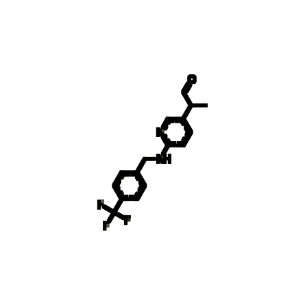 CC(C=O)c1ccc(NCc2ccc(C(F)(F)F)cc2)nc1